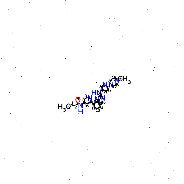 CC=CC(=O)Nc1ccnc(-c2cccc3cnc(Nc4ccc(N5CCN(C)CC5)nc4)nc23)c1